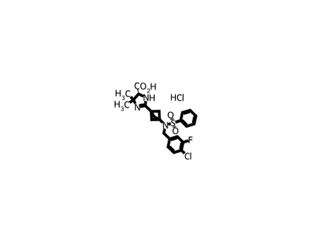 CC1(C)N=C(C23CC(N(Cc4ccc(Cl)c(F)c4)S(=O)(=O)c4ccccc4)(C2)C3)N[C@H]1C(=O)O.Cl